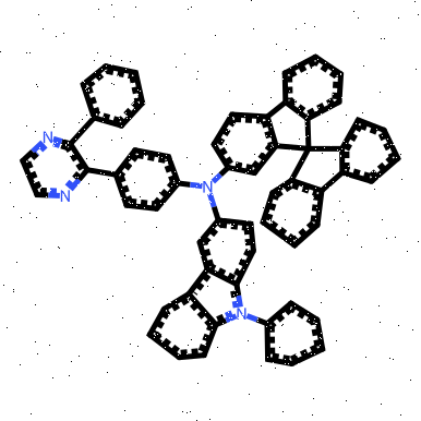 c1ccc(-c2nccnc2-c2ccc(N(c3ccc4c(c3)C3(c5ccccc5-c5ccccc53)c3ccccc3-4)c3ccc4c(c3)c3ccccc3n4-c3ccccc3)cc2)cc1